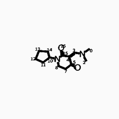 CN(C)C=C1C(=O)CCN(C2CCCC2)C1=O